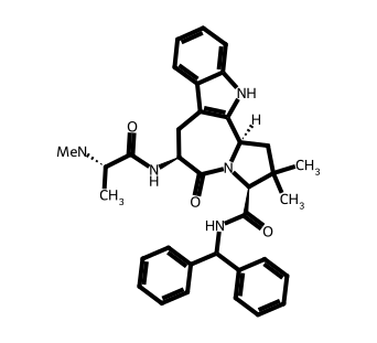 CN[C@@H](C)C(=O)N[C@H]1Cc2c([nH]c3ccccc23)[C@H]2CC(C)(C)[C@@H](C(=O)NC(c3ccccc3)c3ccccc3)N2C1=O